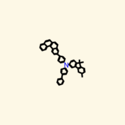 CC1C=CC2=C(C1)c1cc(N(c3ccc(-c4ccccc4)cc3)c3ccc(-c4ccc5c(ccc6ccc7ccccc7c65)c4)cc3)ccc1C2(C)C